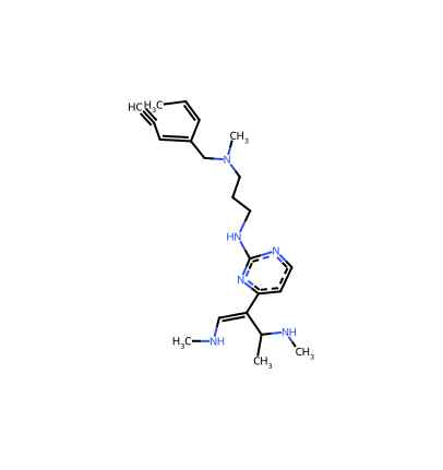 C#C/C=C(\C=C/C)CN(C)CCCNc1nccc(/C(=C/NC)C(C)NC)n1